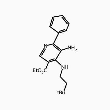 CCOC(=O)c1cnc(-c2ccccc2)c(N)c1NCCC(C)(C)C